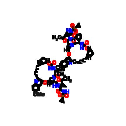 C=CC1C[C@]1(NC(=O)[C@@H]1C[C@@H]2CN1C(=O)[C@H](C1CCCC1)NC(=O)O[C@@H]1CCC[C@H]1CCCCCc1nc3cc(CC(C)(C)[C@@H]4NC(=O)O[C@@H]5CCC[C@H]5CCCCCc5nc6ccc(OC)cc6cc5O[C@@H]5C[C@@H](C(=O)N[C@]6(C(=O)NS(=O)(=O)C7CC7)CC6C=C)N(C5)C4=O)ccc3cc1O2)C(=O)NS(=O)(=O)C1CC1